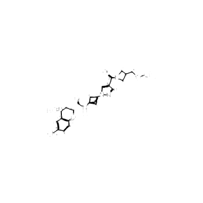 O=C(NC12CC(n3cc(C(=O)N4CC(COC(F)(F)F)C4)cn3)(C1)C2)[C@H]1C[C@@H](O)c2cc(Cl)ccc2O1